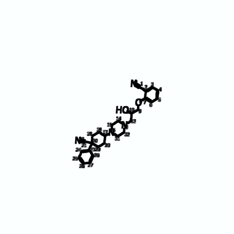 N#Cc1ccccc1OCC(O)CN1CCN(C2CCC(C#N)(c3ccccc3)CC2)CC1